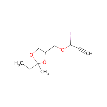 C#CC(I)OCC1COC(C)(CC)O1